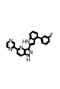 Fc1cccc(-c2cccc3[nH]c(-c4n[nH]c5ccc(-c6cnccn6)nc45)cc23)c1